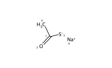 CC(=O)[S-].[Na+]